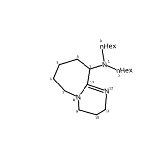 CCCCCCN(CCCCCC)C1CCCCN2CCCN=C12